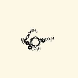 CCC(CCOCCOCCN)C(=O)c1ccc(C(C2=CC=CC(C(=O)O)C2CC)N2CCOCCOCCN(Cc3cccc(C(=O)O)n3)CCOCCOCC2)cc1